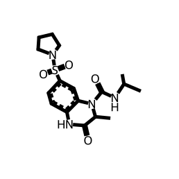 CC(C)NC(=O)N1c2cc(S(=O)(=O)N3CCCC3)ccc2NC(=O)C1C